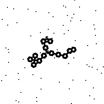 c1ccc(C2(c3ccccc3)c3ccccc3-c3ccc(-c4ccc(N(c5ccc(-c6ccc(-c7cccc(-c8ccc9ccccc9c8)c7)cc6)cc5)c5ccc(-c6cccc7sc8ccccc8c67)cc5)cc4)cc32)cc1